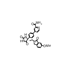 COc1ccc2c(c1)C(=O)N(CC[C@@]1(c3ccc(-c4ccnc(C(N)=O)c4)cc3)NC(=O)NC1=O)C2